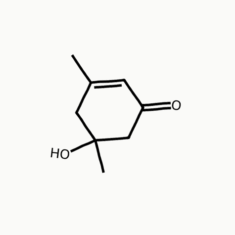 CC1=CC(=O)CC(C)(O)C1